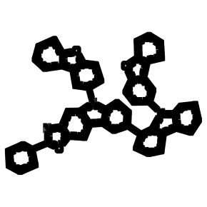 c1ccc(-c2nc3cc4c(cc3o2)c2cc(-c3cccc5c6ccccc6n(-c6ccc7oc8ccccc8c7c6)c35)ccc2n4-c2ccc3oc4ccccc4c3c2)cc1